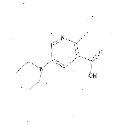 CCN(CC)c1cnc(C)c(C(=O)O)c1